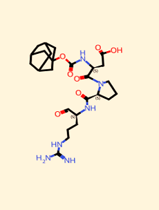 N=C(N)NCCC[C@@H](C=O)NC(=O)[C@@H]1CCCN1C(=O)[C@H](CC(=O)O)NC(=O)OC12CC3CC(CC(C3)C1)C2